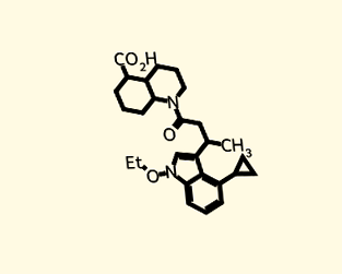 CCOn1cc(C(C)CC(=O)N2CCCC3C(C(=O)O)CCCC32)c2c(C3CC3)cccc21